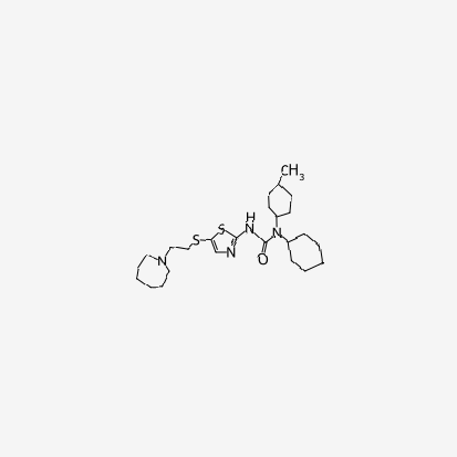 CC1CCC(N(C(=O)Nc2ncc(SCCN3CCCCCC3)s2)C2CCCCC2)CC1